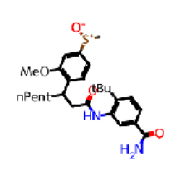 CCCCCC(CC(=O)Nc1cc(C(N)=O)ccc1C(C)(C)C)c1ccc([S+](C)[O-])cc1OC